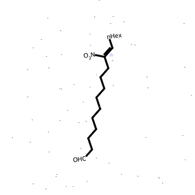 CCCCCC/C=C(/CCCCCCCCCC=O)[N+](=O)[O-]